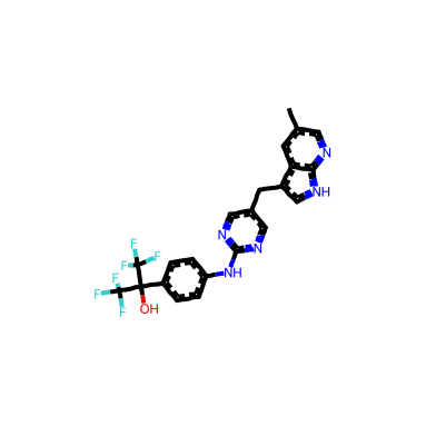 Cc1cnc2[nH]cc(Cc3cnc(Nc4ccc(C(O)(C(F)(F)F)C(F)(F)F)cc4)nc3)c2c1